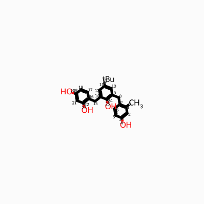 Cc1cc(O)ccc1Cc1cc(C(C)(C)C)cc(Cc2ccc(O)cc2O)c1O